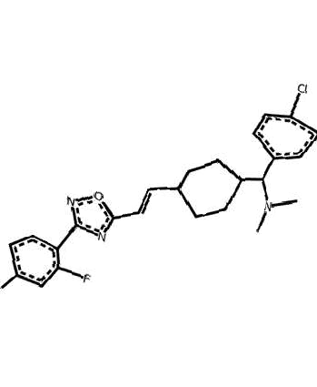 CN(C)C(c1ccc(Cl)cc1)C1CCC(/C=C/c2nc(-c3ccc(F)cc3F)no2)CC1